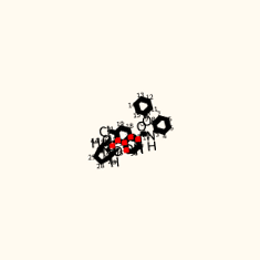 O=C(Nc1ccccc1Oc1ccccc1)Nc1ccc(Cl)c(S(=O)(=O)N2[C@@H]3CC[C@H]2CN(Cc2ccccc2)C3)c1O